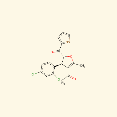 CC(=O)C1=C(C)O[C@@H](C(=O)c2cccs2)[C@@H]1c1ccc(Cl)cc1Cl